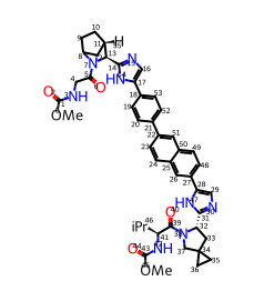 COC(=O)NCC(=O)N1C2CC[C@@H](C2)[C@H]1c1ncc(-c2ccc(-c3ccc4cc(-c5cnc([C@@H]6CC7(CC7)CN6C(=O)[C@@H](NC(=O)OC)C(C)C)[nH]5)ccc4c3)cc2)[nH]1